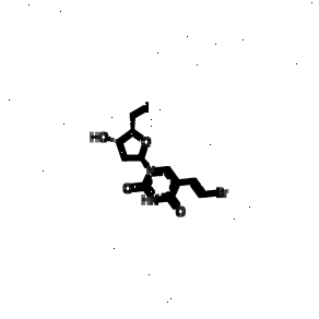 O=c1[nH]c(=O)n([C@H]2C[C@H](O)[C@@H](CI)O2)cc1C=CBr